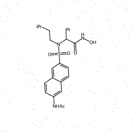 CC(=O)Nc1ccc2cc(S(=O)(=O)N(CCC(C)C)C(C(=O)NO)C(C)C)ccc2c1